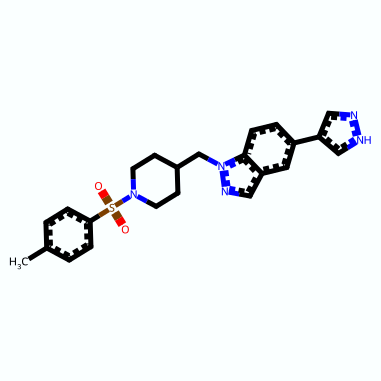 Cc1ccc(S(=O)(=O)N2CCC(Cn3ncc4cc(-c5cn[nH]c5)ccc43)CC2)cc1